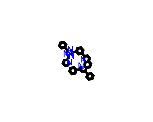 c1ccc(-c2cc(-c3ccccc3)c3ccc4ccc(-c5cccc(-c6nc(-c7ccccc7)nc(-c7ccccn7)n6)c5)nc4c3n2)cc1